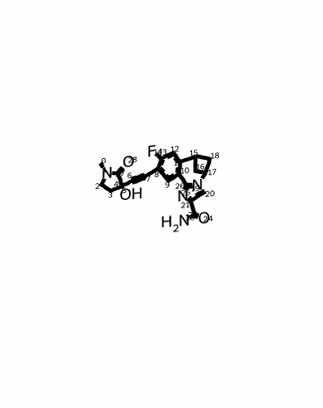 CN1CC[C@@](O)(C#Cc2cc3c(cc2F)C2CC(C2)n2cc(C(N)=O)nc2-3)C1=O